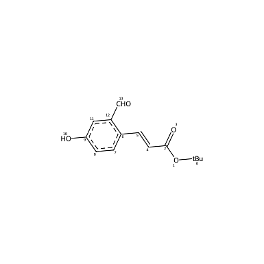 CC(C)(C)OC(=O)/C=C/c1ccc(O)cc1C=O